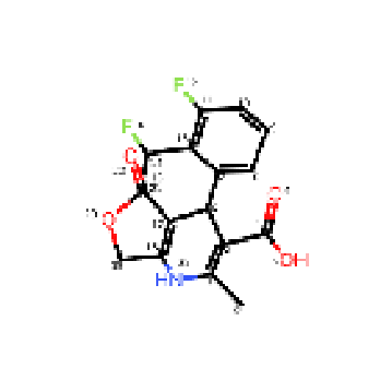 CC1=C(C(=O)O)C(c2cccc(F)c2C(C)F)C2=C(COC2=O)N1